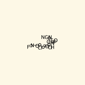 N#Cc1cncc(COc2cc(O[C@H]3CCc4c(-c5cccc(OCCCN6CCC(F)CC6)c5Cl)cccc43)c(Cl)cc2CN[C@@H]2CCOC[C@H]2F)c1